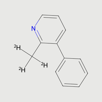 [2H]C([2H])([2H])c1ncccc1-c1ccccc1